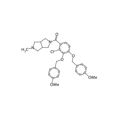 COc1ccc(COc2ccc(C(=O)N3CC4CN(C)CC4C3)c(Cl)c2OCc2ccc(OC)cc2)cc1